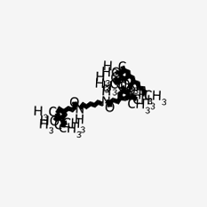 CCCCCC(Cc1cc(C)c(O)c(C(C)(C)C)c1)C(=O)Oc1c(C)cc(CCC(=O)NCCCCCCNC(=O)CCc2cc(C)c(O)c(C(C)(C)C)c2)cc1C(C)(C)C